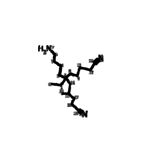 CCC(CCCCN)(CCCCC#N)CC(C)CCC#N